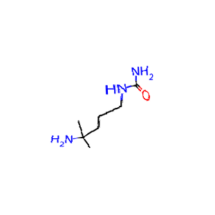 CC(C)(N)CCCNC(N)=O